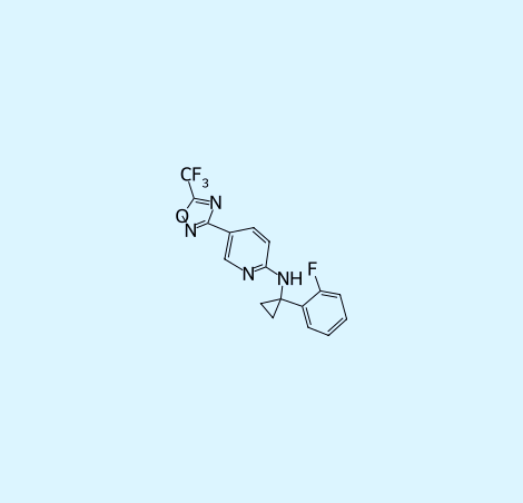 Fc1ccccc1C1(Nc2ccc(-c3noc(C(F)(F)F)n3)cn2)CC1